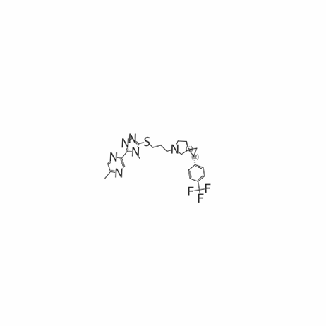 Cc1cnc(-c2nnc(SCCCN3CC[C@]4(C[C@@H]4c4ccc(C(F)(F)F)cc4)C3)n2C)cn1